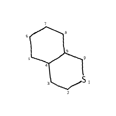 [CH]1SCCC2CCCCC12